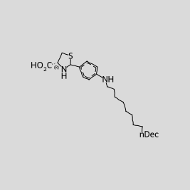 CCCCCCCCCCCCCCCCCCNc1ccc(C2N[C@H](C(=O)O)CS2)cc1